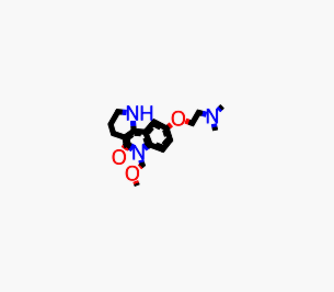 COCn1c(=O)c2c(c3cc(OCCN(C)C)ccc31)NCCC2